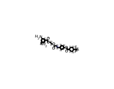 Nc1cc(N)cc(C(=O)OCCOC(=O)/C=C/c2ccc(OC(=O)C3CCC(C(F)(F)F)CC3)cc2)c1